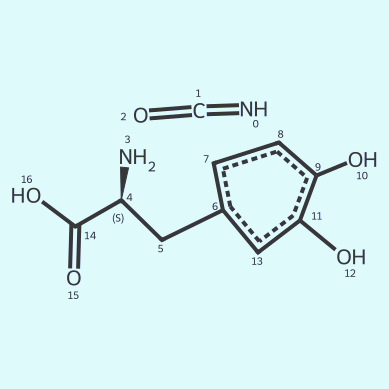 N=C=O.N[C@@H](Cc1ccc(O)c(O)c1)C(=O)O